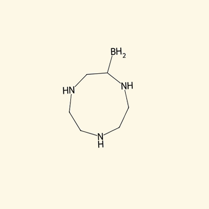 BC1CNCCNCCN1